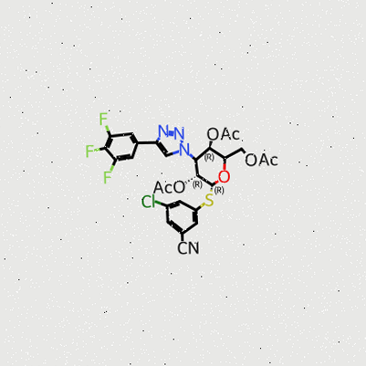 CC(=O)OCC1O[C@H](Sc2cc(Cl)cc(C#N)c2)[C@H](OC(C)=O)C(n2cc(-c3cc(F)c(F)c(F)c3)nn2)[C@H]1OC(C)=O